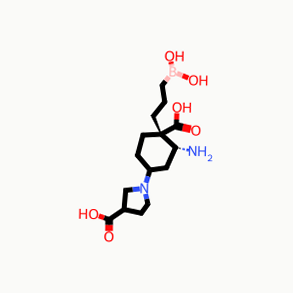 N[C@@H]1CC(N2CCC(C(=O)O)C2)CC[C@]1(CCCB(O)O)C(=O)O